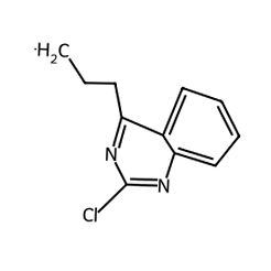 [CH2]CCc1nc(Cl)nc2ccccc12